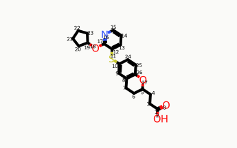 O=C(O)CCC1CCc2cc(Sc3cccnc3OC3CCCC3)ccc2O1